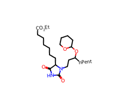 CCCCCC(CCN1C(=O)NC(=O)C1CCCCCCC(=O)OCC)OC1CCCCO1